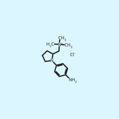 C[N+](C)(C)CC1CCCN1c1ccc(N)cc1.[Cl-]